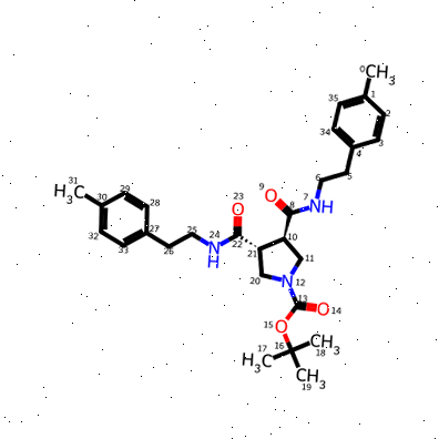 Cc1ccc(CCNC(=O)[C@H]2CN(C(=O)OC(C)(C)C)C[C@@H]2C(=O)NCCc2ccc(C)cc2)cc1